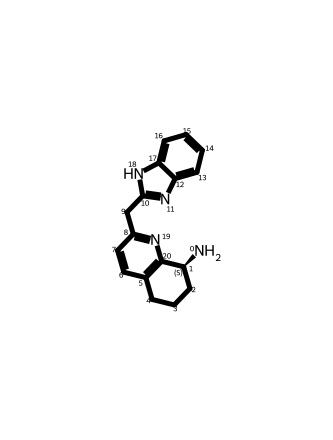 N[C@H]1CCCc2ccc(Cc3nc4ccccc4[nH]3)nc21